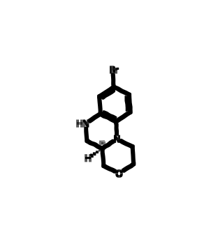 Brc1ccc2c(c1)NC[C@@H]1COCCN21